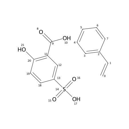 C=Cc1ccccc1.O=C(O)c1cc(S(=O)(=O)O)ccc1O